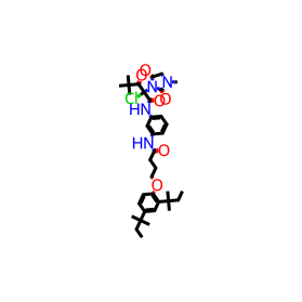 CCC(C)(C)c1ccc(OCCCC(=O)Nc2cccc(NC(=O)C(Cl)(C(=O)C(C)(C)C)N3C(=O)CN(C)C3=O)c2)c(C(C)(C)CC)c1